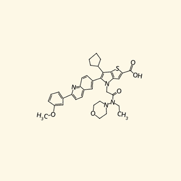 CCN(C(=O)Cn1c(-c2ccc3nc(-c4cccc(OC)c4)ccc3c2)c(C2CCCC2)c2sc(C(=O)O)cc21)N1CCOCC1